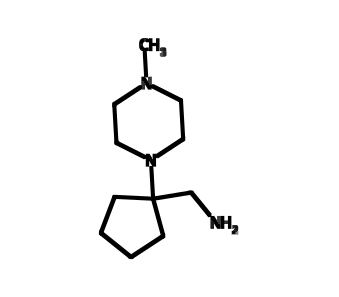 CN1CCN(C2(CN)CCCC2)CC1